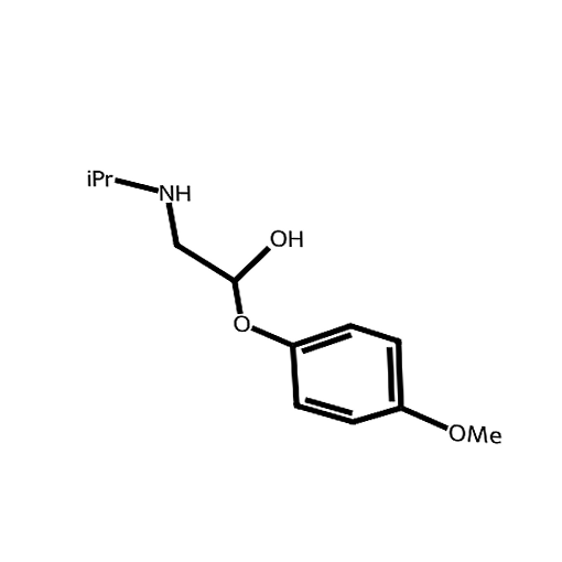 COc1ccc(OC(O)CNC(C)C)cc1